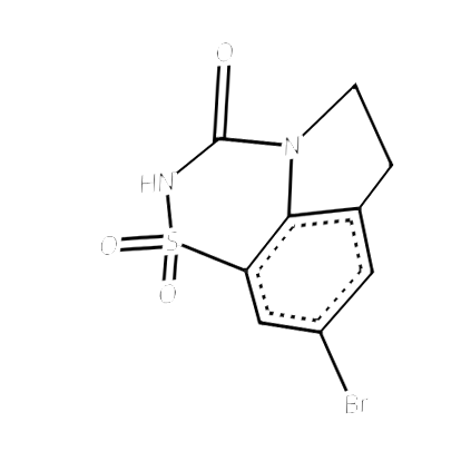 O=C1NS(=O)(=O)c2cc(Br)cc3c2N1CC3